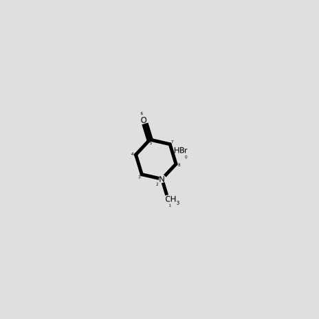 Br.CN1CCC(=O)CC1